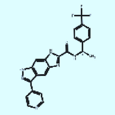 C[C@@H](NC(=O)c1nc2cc3c(-c4ccncc4)n[nH]c3cc2[nH]1)c1ccc(C(F)(F)F)cc1